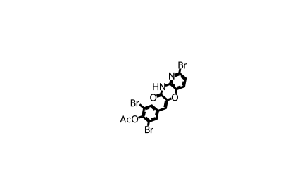 CC(=O)Oc1c(Br)cc(C=C2Oc3ccc(Br)nc3NC2=O)cc1Br